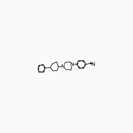 N#Cc1ccc(N2CCN(C3CCC(c4ccccc4)CC3)CC2)cc1